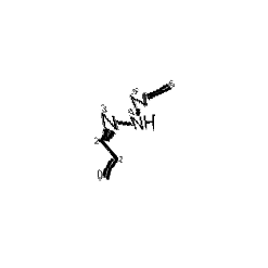 C=C/C=N\NN=C